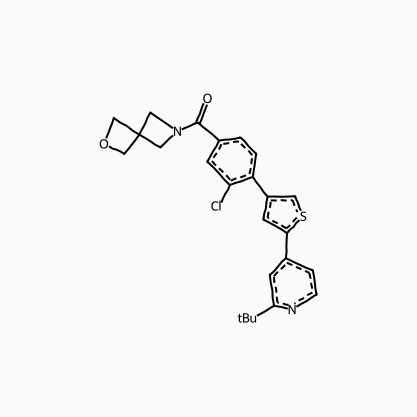 CC(C)(C)c1cc(-c2cc(-c3ccc(C(=O)N4CC5(COC5)C4)cc3Cl)cs2)ccn1